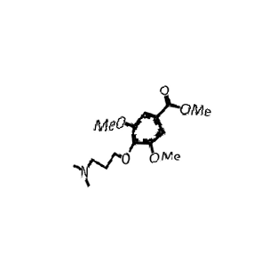 COC(=O)c1cc(OC)c(OCCCN(C)C)c(OC)c1